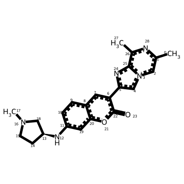 Cc1cn2cc(-c3cc4ccc(N[C@H]5CCN(C)C5)cc4oc3=O)nc2c(C)n1